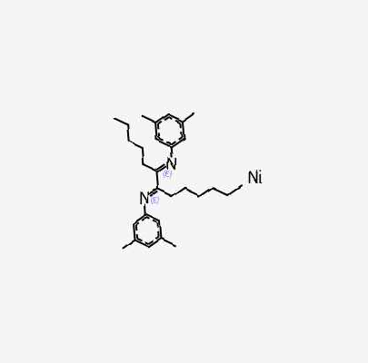 CCCCCCC(=N\c1cc(C)cc(C)c1)/C(CCCCC)=N/c1cc(C)cc(C)c1.[Ni]